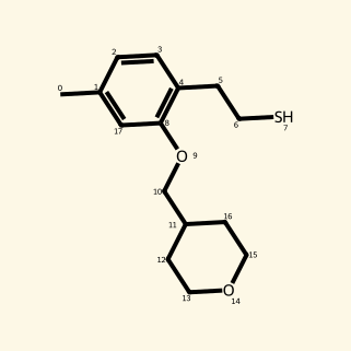 Cc1ccc(CCS)c(OCC2CCOCC2)c1